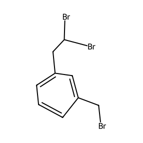 BrCc1cccc(CC(Br)Br)c1